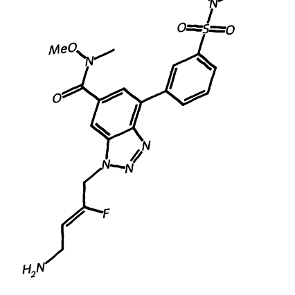 CON(C)C(=O)c1cc(-c2cccc(S(=O)(=O)N(C)C)c2)c2nnn(C/C(F)=C/CN)c2c1